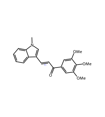 COc1cc(C(=O)/C=C/c2cn(C)c3ccccc23)cc(OC)c1OC